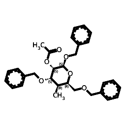 CC(=O)O[C@@H]1[C@@H](OCc2ccccc2)O[C@@H](COCc2ccccc2)[C@@H](C)[C@@H]1OCc1ccccc1